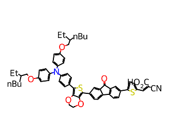 CCCCC(CC)COc1ccc(N(c2ccc(OCC(CC)CCCC)cc2)c2ccc(-c3sc(-c4ccc5c(c4)C(=O)c4cc(-c6ccc(/C=C(/C#N)C(=O)O)s6)ccc4-5)c4c3OCCO4)cc2)cc1